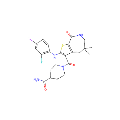 CC1(C)CNC(=O)c2sc(Nc3ccc(I)cc3F)c(C(=O)N3CCC(C(N)=O)CC3)c2C1